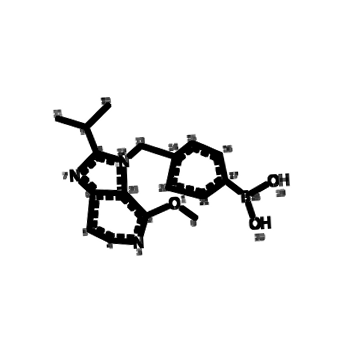 COc1nccc2nc(C(C)C)n(Cc3ccc(B(O)O)cc3)c12